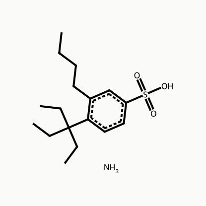 CCCCc1cc(S(=O)(=O)O)ccc1C(CC)(CC)CC.N